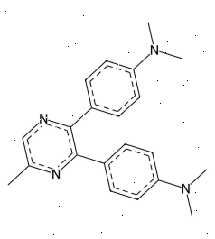 Cc1cnc(-c2ccc(N(C)C)cc2)c(-c2ccc(N(C)C)cc2)n1